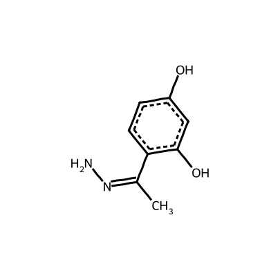 C/C(=N/N)c1ccc(O)cc1O